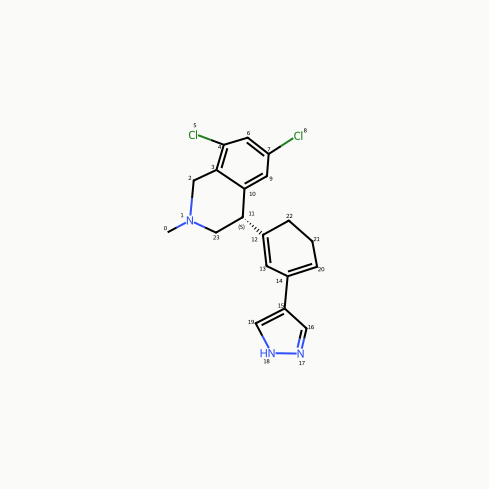 CN1Cc2c(Cl)cc(Cl)cc2[C@H](C2=CC(c3cn[nH]c3)=CCC2)C1